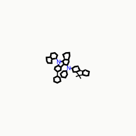 CC1(C)c2ccccc2-c2ccc(N(c3ccccc3)c3cc4ccccc4c4c3c3cc(-c5ccccc5)ccc3n4-c3cccc4ccccc34)cc21